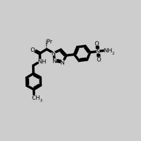 Cc1ccc(CNC(=O)[C@H](C(C)C)n2cc(-c3ccc(S(N)(=O)=O)cc3)nn2)cc1